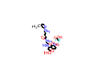 Cc1ccnc(NCCCCC(=O)NCC(=O)NC(CC(=O)O)c2cccc([N+](=O)[O-])c2)c1.O=C(O)C(F)(F)F